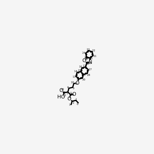 CCC(C)OC(=O)C(CCCOc1ccc2cc(-c3nc4ccccc4o3)ccc2c1)C(=O)O